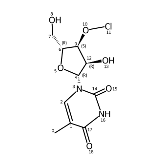 Cc1cn([C@@H]2O[C@H](CO)[C@@H](OCl)[C@H]2O)c(=O)[nH]c1=O